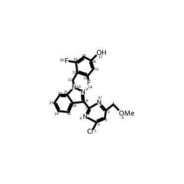 COCc1cc(Cl)nc(-c2nn(Cc3c(F)cc(O)cc3F)c3ccccc23)n1